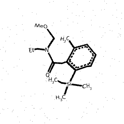 CCN(COC)C(=O)c1c(C)cccc1[Si](C)(C)C